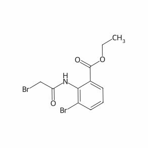 CCOC(=O)c1cccc(Br)c1NC(=O)CBr